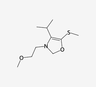 COCCN1COC(SC)=C1C(C)C